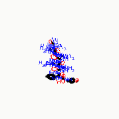 COc1ccc(CNC(O)C(=O)NC(C(=O)NC(NC(=N)N)C(=O)NC(NC(=N)N)C(=O)NC(NC(=N)N)C(=O)NC(NC(=N)N)C(=O)NC(N)C(N)=O)c2ccccc2)cc1